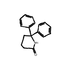 O=C1CCCC(c2ccccc2)(c2ccccc2)N1